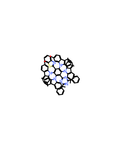 Cc1ccc2c3ccc(C)cc3n(-c3c(-c4nc(-c5ccccc5)nc(-c5ccccc5)n4)c(-n4c5cc(C)ccc5c5ccc(C)cc54)c(-n4c5cc(C)ccc5c5ccc(C)cc54)c(-c4nc5ccccc5s4)c3-n3c4cc(C)ccc4c4ccc(C)cc43)c2c1